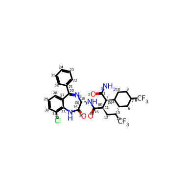 NC(=O)[C@@H](C1CCC(C(F)(F)F)CC1)[C@@H](CCC(F)(F)F)C(=O)N[C@H]1N=C(c2ccccc2)c2cccc(Cl)c2NC1=O